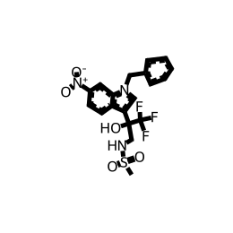 CS(=O)(=O)NCC(O)(c1cn(Cc2ccccc2)c2cc([N+](=O)[O-])ccc12)C(F)(F)F